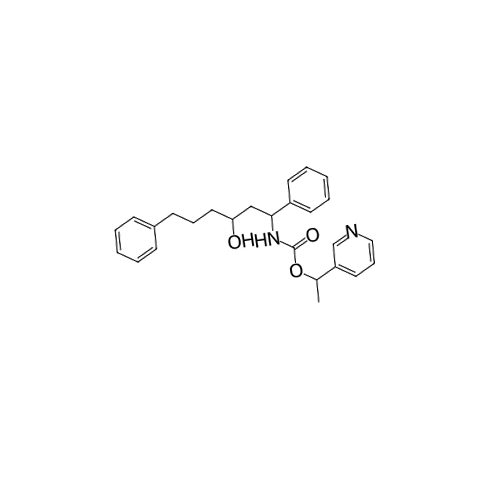 CC(OC(=O)NC(CC(O)CCCc1ccccc1)c1ccccc1)c1cccnc1